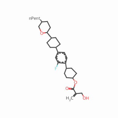 C=C(CO)C(=O)OC1CCC(c2ccc(C3CCC(C4CCC(CCCCC)CO4)CC3)cc2F)CC1